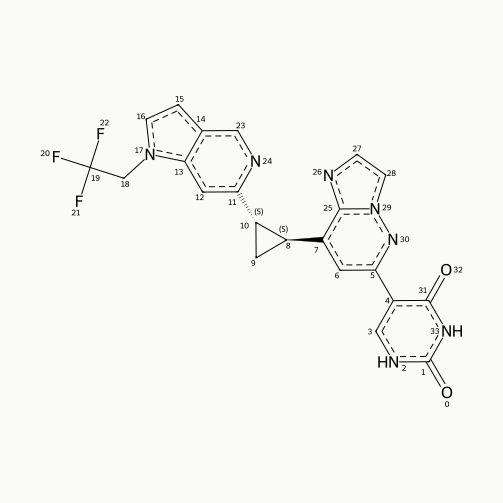 O=c1[nH]cc(-c2cc([C@H]3C[C@@H]3c3cc4c(ccn4CC(F)(F)F)cn3)c3nccn3n2)c(=O)[nH]1